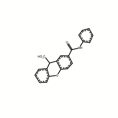 O=C(Nc1ccccc1)c1ccc2c(c1)C(C(=O)O)c1ccccc1O2